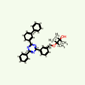 CC(C)(O)C(C)(C)OBc1cccc(-c2nc(C3=CC(c4ccccc4)=CCC3)nc(-c3ccccc3)n2)c1